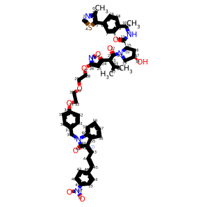 Cc1ncsc1-c1ccc(C(C)NC(=O)[C@@H]2C[C@@H](O)CN2C(=O)C(c2cc(OCCOCCOc3ccc(CN4C(=O)/C(=C\C=Cc5ccc([N+](=O)[O-])cc5)c5ccccc54)cc3)no2)C(C)C)cc1